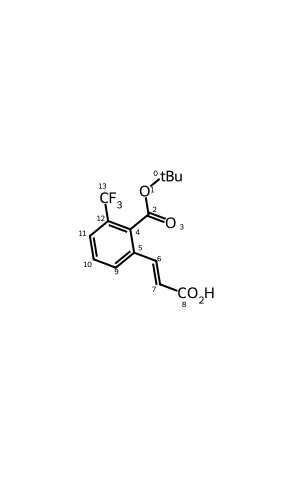 CC(C)(C)OC(=O)c1c(C=CC(=O)O)cccc1C(F)(F)F